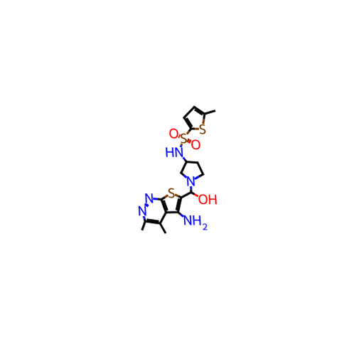 Cc1ccc(S(=O)(=O)NC2CCN(C(O)c3sc4nnc(C)c(C)c4c3N)C2)s1